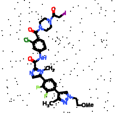 COCCn1cc(-c2ccc(-c3cnc(C(=O)Nc4ccc(C(=O)N5CCN(C(=O)CI)CC5)c(Cl)c4)n3C)c(F)c2F)c(C)n1